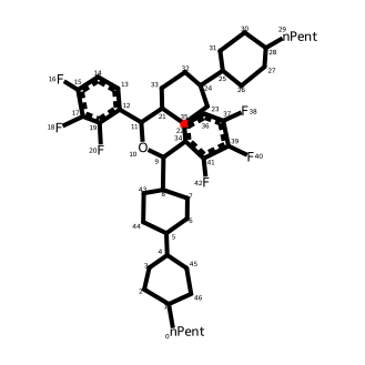 CCCCCC1CCC(C2CCC(C(OC(c3ccc(F)c(F)c3F)C3CCC(C4CCC(CCCCC)CC4)CC3)c3ccc(F)c(F)c3F)CC2)CC1